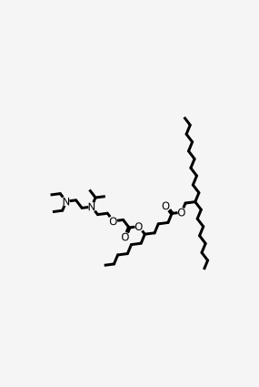 CCCCCCCCCCC(CCCCCCCC)COC(=O)CCCC(CCCCCC)OC(=O)COCCN(CCN(CC)CC)C(C)C